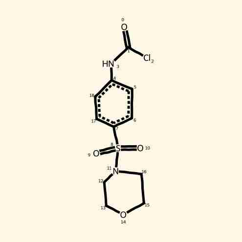 O=C(Cl)Nc1ccc(S(=O)(=O)N2CCOCC2)cc1